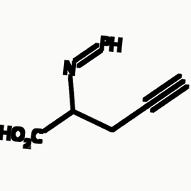 C#CCC(N=P)C(=O)O